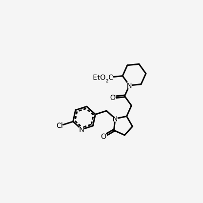 CCOC(=O)C1CCCCN1C(=O)CC1CCC(=O)N1Cc1ccc(Cl)nc1